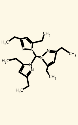 CCc1cc(CC)n(C(n2nc(CC)cc2CC)n2nc(CC)cc2CC)n1